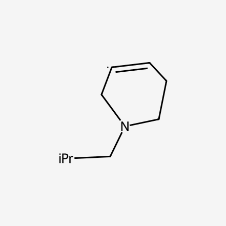 CC(C)CN1C[C]=CCC1